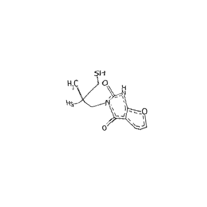 CC(S)(CS)Cn1c(=O)[nH]c2occc2c1=O